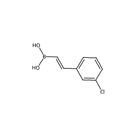 OB(O)C=Cc1cccc(Cl)c1